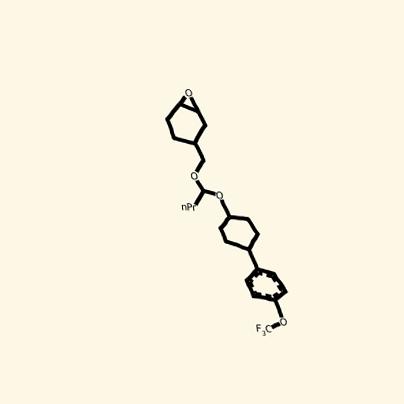 CCCC(OCC1CCC2OC2C1)OC1CCC(c2ccc(OC(F)(F)F)cc2)CC1